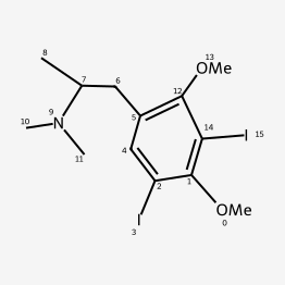 COc1c(I)cc(CC(C)N(C)C)c(OC)c1I